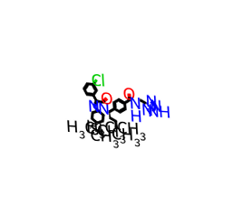 CC(C)(C)CC[C@H](c1ccc(C(=O)NCc2nn[nH]n2)cc1)N1C(=O)C(c2cccc(Cl)c2)=NC12CCC([Si](C)(C)C)CC2